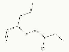 C=CC(CCC)CCC(Cl)CC